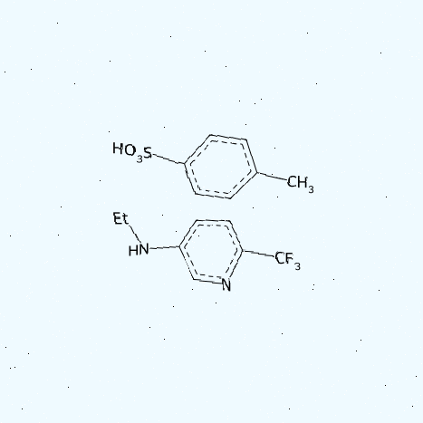 CCNc1ccc(C(F)(F)F)nc1.Cc1ccc(S(=O)(=O)O)cc1